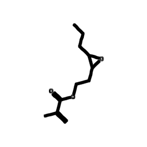 C=C(C)C(=O)OCCC1OC1CCC